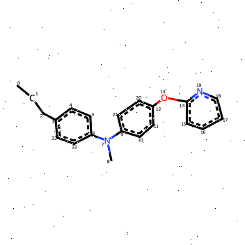 CCCc1ccc(N(C)c2ccc(Oc3ccccn3)cc2)cc1